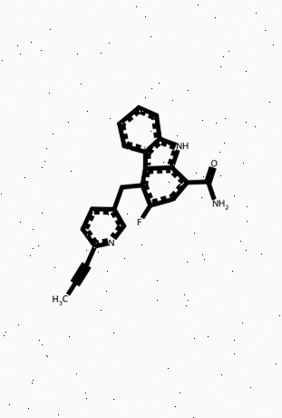 CC#Cc1ccc(Cc2c(F)cc(C(N)=O)c3[nH]c4ccccc4c23)cn1